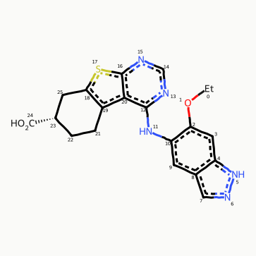 CCOc1cc2[nH]ncc2cc1Nc1ncnc2sc3c(c12)CC[C@H](C(=O)O)C3